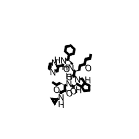 C/C=C/C(=O)CC[C@H](NC[C@@H](NC(=O)c1cnccn1)C1CCCCC1)C(=O)N1C[C@@H]2CCC[C@@H]2[C@H]1C(=O)N[C@@H](CCC)C(=O)C(=O)NC1CC1